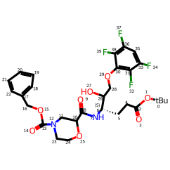 CC(C)(C)OC(=O)CC[C@H](NC(=O)C1CN(C(=O)OCc2ccccc2)CCO1)C(O)COc1c(F)c(F)cc(F)c1F